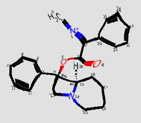 C=[N+]=C(C(=O)O[C@]1(c2ccccc2)CN2CCCC[C@@H]21)c1ccccc1